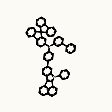 c1ccc(-c2cccc(N(c3ccc(-c4ccc5c6c(n(-c7ccccc7)c5c4)-c4cccc5cccc-6c45)cc3)c3ccc4c(c3)C3(c5ccccc5-c5ccccc53)c3ccccc3-4)c2)cc1